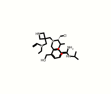 C=CN(CC)CC1(CN(Cc2ccccc2CO)[C@H](CCl)C(C)C/C=C(\N)NC(C)C)CNC1